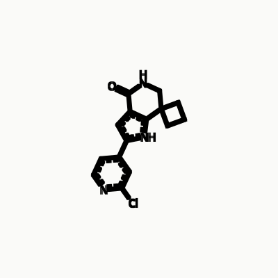 O=C1NCC2(CCC2)c2[nH]c(-c3ccnc(Cl)c3)cc21